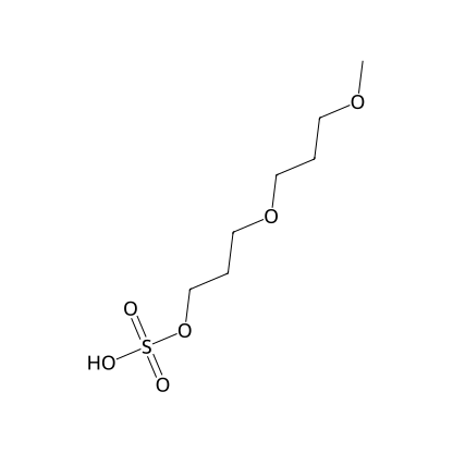 COCCCOCCCOS(=O)(=O)O